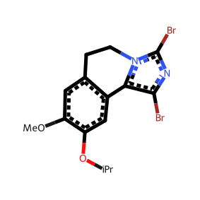 COc1cc2c(cc1OC(C)C)-c1c(Br)nc(Br)n1CC2